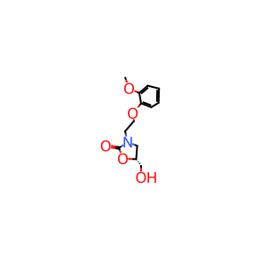 COc1ccccc1OCCN1C[C@H](CO)OC1=O